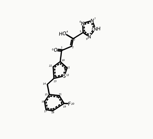 O=C(C=C(O)c1nn[nH]n1)c1csc(Cc2cccc(F)c2)c1